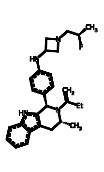 C=C(CC)N1[C@H](c2ccc(NC3CN(C[C@@H](C)F)C3)cc2)c2[nH]c3ccccc3c2C[C@H]1C